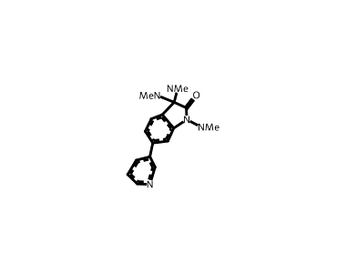 CNN1C(=O)C(NC)(NC)c2ccc(-c3cccnc3)cc21